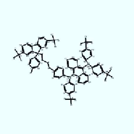 Cc1ccc(C2(CCCCc3ccc(N(c4ccc(C(C)(C)C)cc4)c4c5ccccc5c(N(c5ccc(C(C)(C)C)cc5)c5ccc(C(C)(C)C)cc5)c5ccccc45)cc3)c3cc(C(C)(C)C)ccc3-c3ccc(C(C)(C)C)cc32)cc1